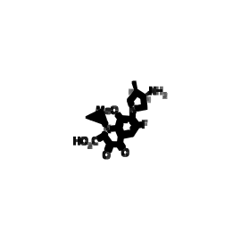 COc1c(N2C[C@@H](C)[C@H](N)C2)c(F)cc2c1N(C1CC1)C(C(=O)O)C(=O)C2=O